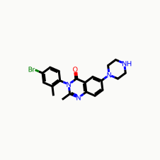 Cc1cc(Br)ccc1-n1c(C)nc2ccc(N3CCNCC3)cc2c1=O